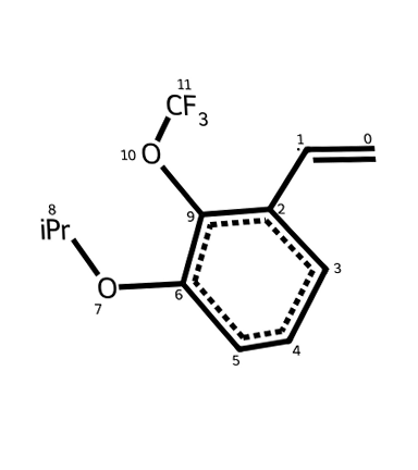 C=[C]c1cccc(OC(C)C)c1OC(F)(F)F